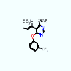 CC=C(C(=O)O)c1c(OC)ncnc1Oc1cccc(C(F)(F)F)c1